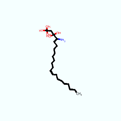 CCCCCCCC/C=C\CCCCCCCCC(N)C(O)(O)CC(O)(O)O